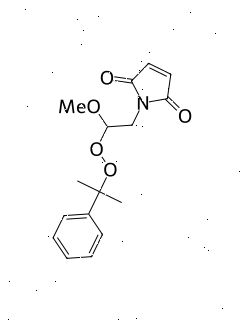 COC(CN1C(=O)C=CC1=O)OOC(C)(C)c1ccccc1